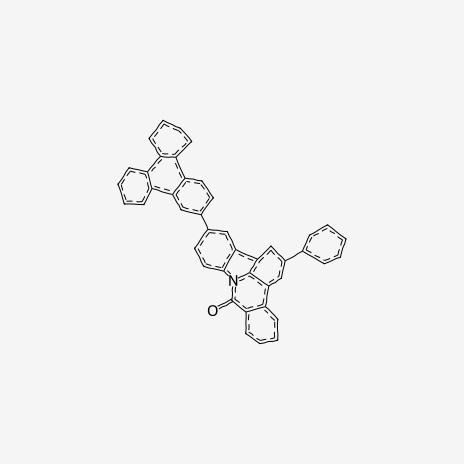 O=c1c2ccccc2c2cc(-c3ccccc3)cc3c4cc(-c5ccc6c7ccccc7c7ccccc7c6c5)ccc4n1c23